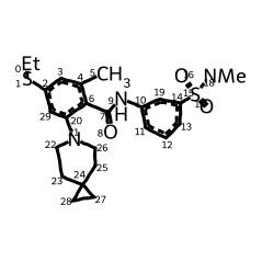 CCSc1cc(C)c(C(=O)Nc2cccc(S(=O)(=O)NC)c2)c(N2CCC3(CC2)CC3)c1